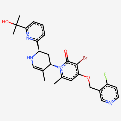 CC1=CN[C@@H](c2cccc(C(C)(C)O)n2)C[C@H]1n1c(C)cc(OCc2cnccc2F)c(Br)c1=O